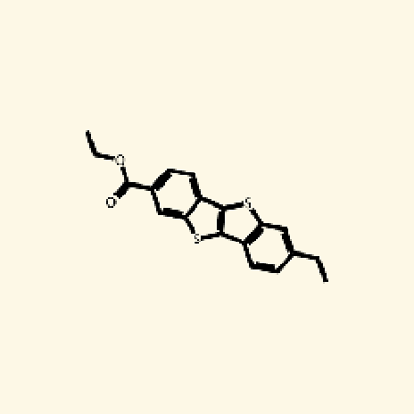 CCOC(=O)c1ccc2c(c1)sc1c3ccc(CC)cc3sc21